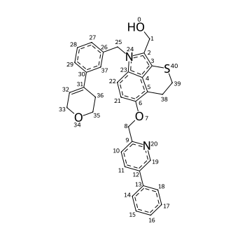 OCc1c2c3c(c(OCc4ccc(-c5ccccc5)cn4)ccc3n1Cc1cccc(C3=CCOCC3)c1)CCS2